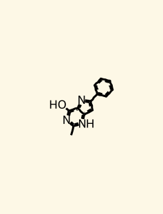 Cc1nc(O)c2nc(-c3ccccc3)cc-2[nH]1